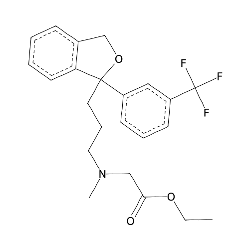 CCOC(=O)CN(C)CCCC1(c2cccc(C(F)(F)F)c2)OCc2ccccc21